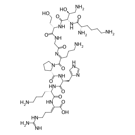 N=C(N)NCC/C=C(\NC(=O)[C@H](CCCCN)NC(=O)[C@H](Cc1c[nH]cn1)NC(=O)[C@@H]1CCCN1C(=O)/C(CCCN)=N/C(=O)CNC(=O)[C@H](CCO)NC(=O)[C@@H](NC(=O)[C@@H](N)CCCCN)[C@@H](O)CN)C(=O)O